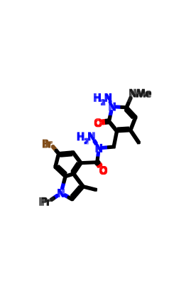 CNc1cc(C)c(CN(N)C(=O)c2cc(Br)cc3c2c(C)cn3C(C)C)c(=O)n1N